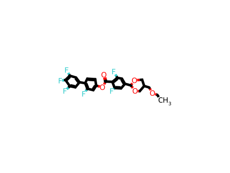 CCOCC1COC(c2cc(F)c(C(=O)Oc3ccc(-c4cc(F)c(F)c(F)c4)c(F)c3)c(F)c2)OC1